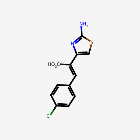 Nc1nc(/C(=C/c2ccc(Cl)cc2)C(=O)O)cs1